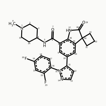 CN1CCC(NC(=O)c2cc(-c3ccnn3-c3ccc(F)cc3F)cc3c2NC(=O)C32CCC2)CC1